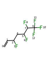 C=CC(F)CC(F)C(F)C(F)(F)F